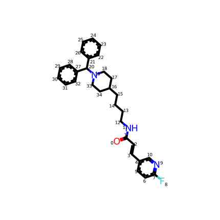 O=C(C=Cc1ccc(F)nc1)NCCCCC1CCN(C(c2ccccc2)c2ccccc2)CC1